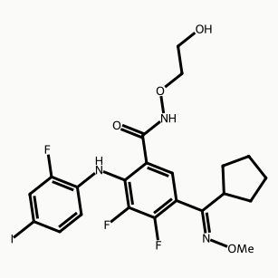 CO/N=C(/c1cc(C(=O)NOCCO)c(Nc2ccc(I)cc2F)c(F)c1F)C1CCCC1